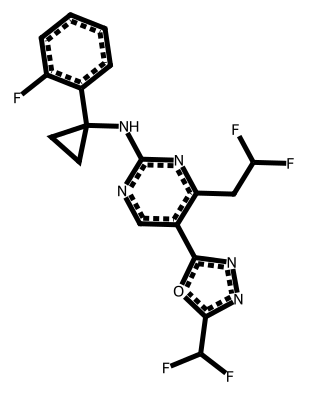 Fc1ccccc1C1(Nc2ncc(-c3nnc(C(F)F)o3)c(CC(F)F)n2)CC1